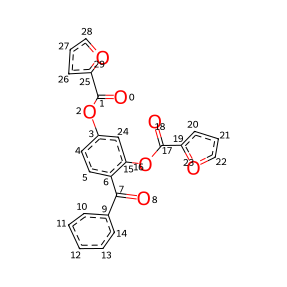 O=C(Oc1ccc(C(=O)c2ccccc2)c(OC(=O)c2ccco2)c1)c1ccco1